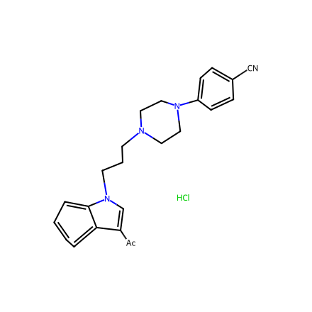 CC(=O)c1cn(CCCN2CCN(c3ccc(C#N)cc3)CC2)c2ccccc12.Cl